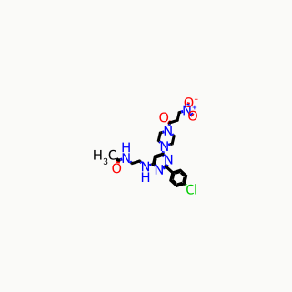 CC(=O)NCCNc1cc(N2CCN(C(=O)CC[N+](=O)[O-])CC2)nc(-c2ccc(Cl)cc2)n1